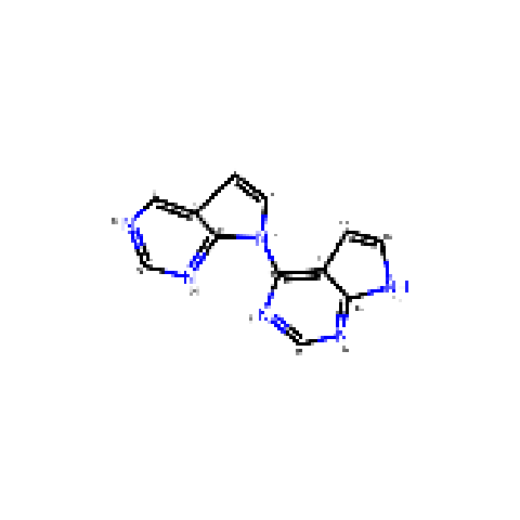 c1nc(-n2ccc3cncnc32)c2cc[nH]c2n1